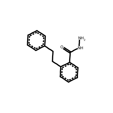 NNC(=O)c1ccccc1CCc1ccccc1